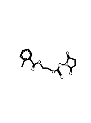 Cc1ccccc1C(=O)OCCOC(=O)ON1C(=O)CCC1=O